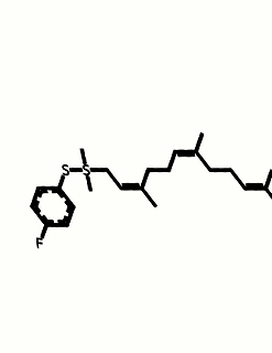 CC(C)=CCCC(C)=CCCC(C)=CCS(C)(C)Sc1ccc(F)cc1